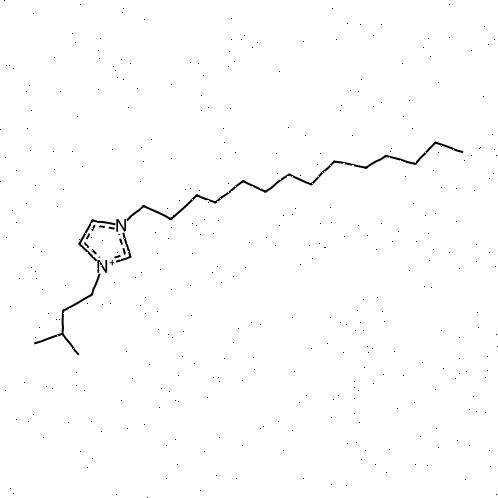 CCCCCCCCCCCCCCn1cc[n+](CCC(C)C)c1